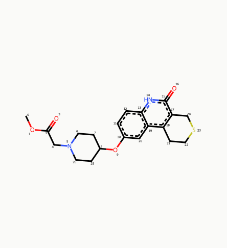 COC(=O)CN1CCC(Oc2ccc3[nH]c(=O)c4c(c3c2)CCSC4)CC1